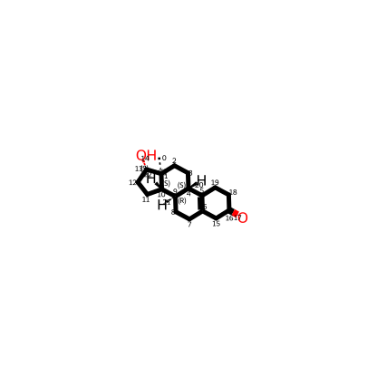 C[C@]12CC[C@@H]3C4=C(CC[C@H]3[C@@H]1CC[C@@H]2O)CC(=O)CC4